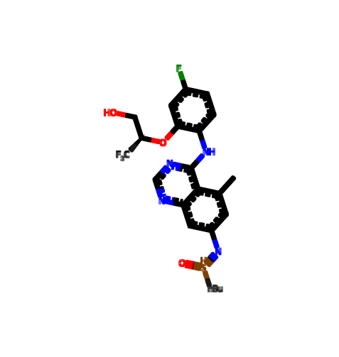 CCCC[SH](=O)=Nc1cc(C)c2c(Nc3ccc(F)cc3O[C@H](CO)C(F)(F)F)ncnc2c1